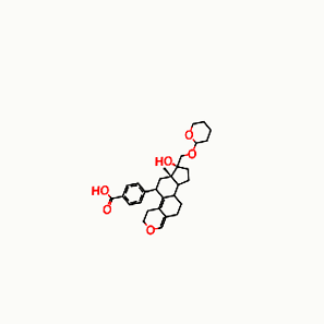 C[C@]12C[C@H](c3ccc(C(=O)O)cc3)C3=C4CCOC=C4CCC3C1CC[C@@]2(O)COC1CCCCO1